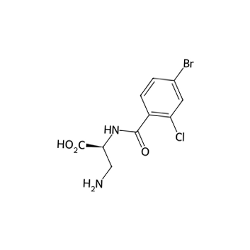 NC[C@H](NC(=O)c1ccc(Br)cc1Cl)C(=O)O